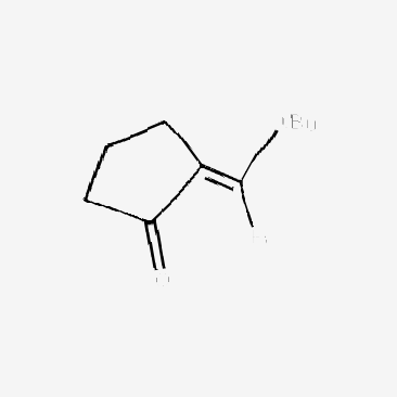 CC/C(=C1/CCCC1=O)C(C)(C)C